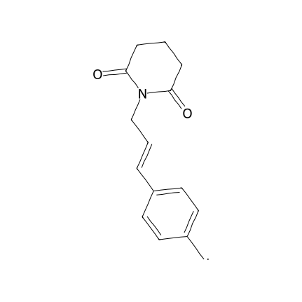 [CH2]c1ccc(/C=C/CN2C(=O)CCCC2=O)cc1